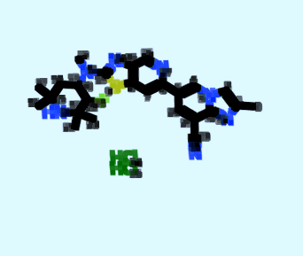 Cc1cn2cc(-c3cc4sc(N(C)[C@@H]5CC(C)(C)NC(C)(C)[C@@H]5F)nc4cn3)cc(C#N)c2n1.Cl.Cl